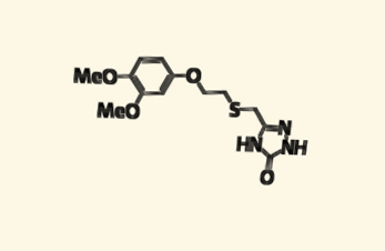 COc1ccc(OCCSCc2n[nH]c(=O)[nH]2)cc1OC